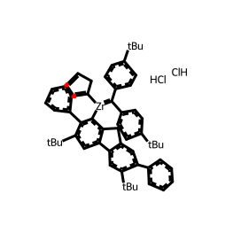 CC(C)(C)c1ccc([C](c2ccc(C(C)(C)C)cc2)=[Zr]([C]2=CC=CC2)[c]2c3c(cc(C(C)(C)C)c2-c2ccccc2)-c2cc(C(C)(C)C)c(-c4ccccc4)cc2C3)cc1.Cl.Cl